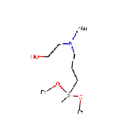 CCCCN(CCO)CCC[Si](C)(OCC)OCC